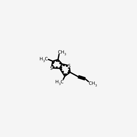 CC#Cc1sc2c(C)c(C)sc2c1C